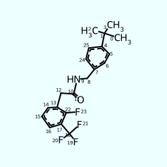 CC(C)(C)c1ccc(CNC(=O)Cc2cccc(C(F)(F)F)c2F)cc1